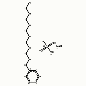 CCCCCCCCCCCCc1ccccc1.CS(=O)(=O)O.[NaH]